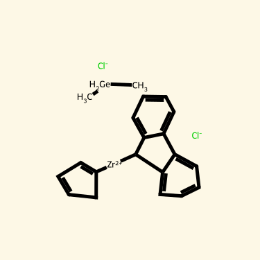 C1=CC[C]([Zr+2][CH]2c3ccccc3-c3ccccc32)=C1.[CH3][GeH2][CH3].[Cl-].[Cl-]